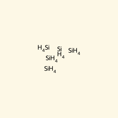 [SiH4].[SiH4].[SiH4].[SiH4].[SiH4]